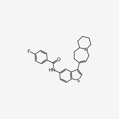 O=C(Nc1ccc2scc(C3=CCN4CCCCC4CC3)c2c1)c1ccc(F)cc1